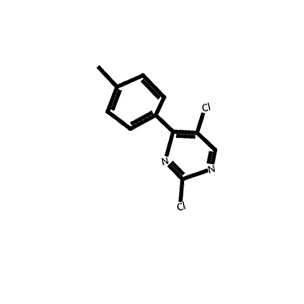 Cc1ccc(-c2nc(Cl)ncc2Cl)cc1